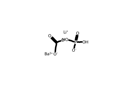 O=C([O-])[O-].O=P([O-])(O)O.[Ba+2].[Li+]